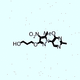 COc1nc(C)ncc1-n1nc(OCCCO)c([N+](=O)[O-])c1C